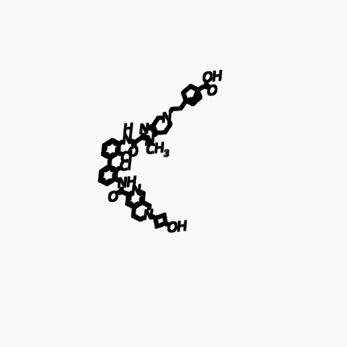 Cn1c(C(=O)Nc2cccc(-c3cccc(NC(=O)c4cc5c(cn4)CN(C4CC(O)C4)CC5)c3Cl)c2Cl)nc2c1CCN(CCC13CCC(C(=O)O)(CC1)C3)C2